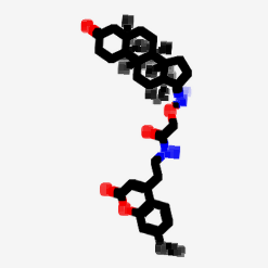 COc1ccc2c(CCNC(=O)CO/N=C3/CC[C@H]4[C@@H]5CC[C@H]6CC(=O)CC[C@]6(C)[C@H]5CC[C@]34C)cc(=O)oc2c1